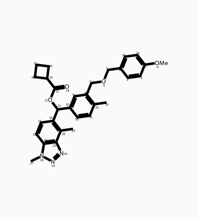 COc1ccc(COCc2cc(C(OC(=O)C3CCC3)c3ccc4c(nnn4C)c3C)ccc2C)cc1